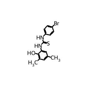 Cc1cc(C)c(O)c(NC(=S)Nc2ccc(Br)cc2)c1